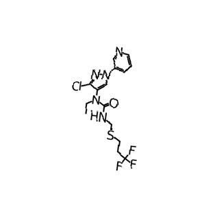 CCN(C(=O)NCSCCC(F)(F)F)c1cn(-c2cccnc2)nc1Cl